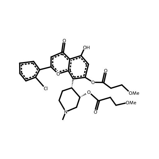 COCCC(=O)Oc1cc(O)c2c(=O)cc(-c3ccccc3Cl)oc2c1[C@H]1CCN(C)C[C@H]1OC(=O)CCOC